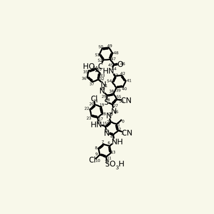 Cc1c(C#N)c(Nc2ccc(Cl)c(S(=O)(=O)O)c2)nc(Nc2ccc(Cl)cc2)c1N=Nc1sc(N=Nc2ccccc2)c(-c2cccc(NC(=O)c3ccccc3C(=O)O)c2)c1C#N